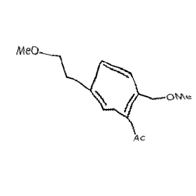 COCCc1ccc(OC)c(C(C)=O)c1